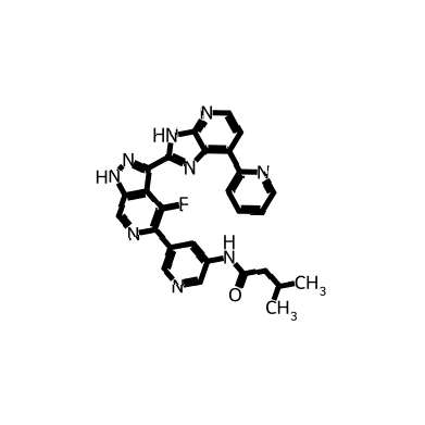 CC(C)CC(=O)Nc1cncc(-c2ncc3[nH]nc(-c4nc5c(-c6ccccn6)ccnc5[nH]4)c3c2F)c1